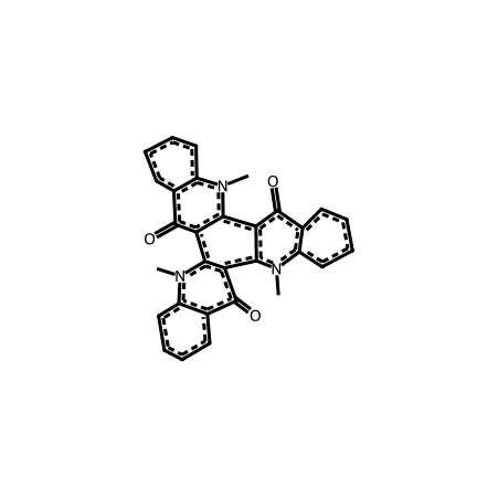 Cn1c2ccccc2c(=O)c2c1c1c(=O)c3ccccc3n(C)c1c1c(=O)c3ccccc3n(C)c21